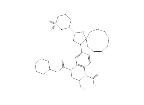 CC(=O)N1c2ccc(C3CN(C4CCCS(=O)(=O)C4)NC34CCCCCCCC4)cc2N(C(=O)OC2CCCCC2)C[C@@H]1C